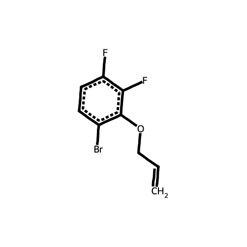 C=CCOc1c(Br)ccc(F)c1F